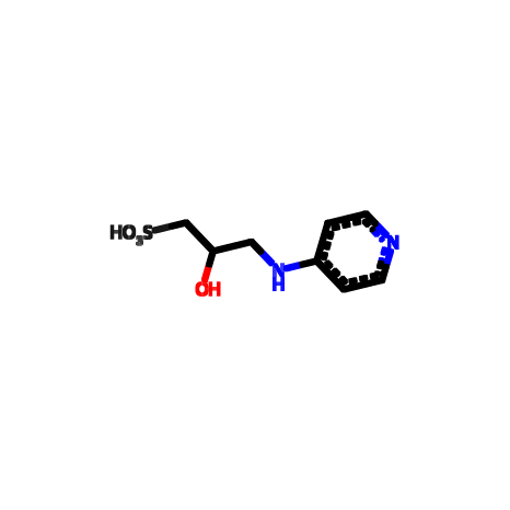 O=S(=O)(O)CC(O)CNc1ccncc1